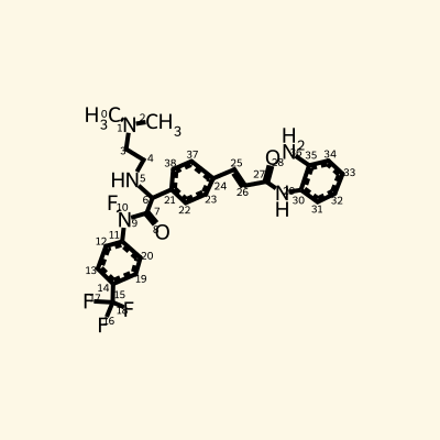 CN(C)CCNC(C(=O)N(F)c1ccc(C(F)(F)F)cc1)c1ccc(C=CC(=O)Nc2ccccc2N)cc1